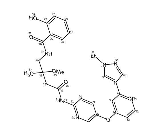 CCn1cc(-c2cc(Oc3ccc(NC(=O)CC(C)(CNC(=O)c4ccccc4O)OC)nc3)ccn2)cn1